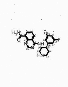 NC(=O)c1cccc2c(N[C@H]3CNCC[C@@H]3c3cc(F)cc(F)c3)ncnc12